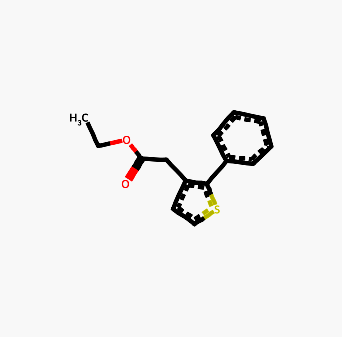 CCOC(=O)Cc1ccsc1-c1ccccc1